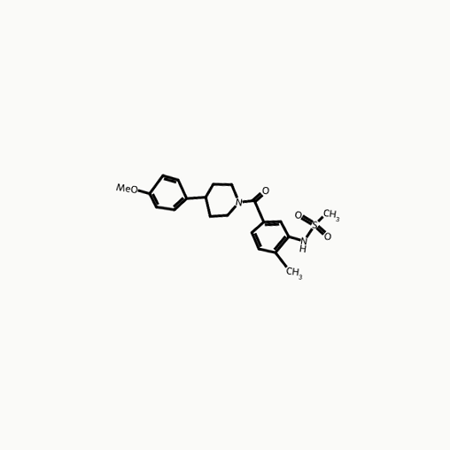 COc1ccc(C2CCN(C(=O)c3ccc(C)c(NS(C)(=O)=O)c3)CC2)cc1